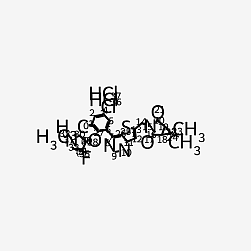 Cc1cc(Cl)cc(-c2ncnc3cc(CN4C(=O)C5C(C4=O)C5(C)C)sc23)c1O[C@@H]1CN(C)C[C@@H]1F.Cl.Cl